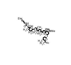 CCSSCCNC(=O)OC[C@]1(O)O[C@@H]([C@H]2C[C@H](C)[C@H]([C@]3(C)CCC([C@@]4(C)C[C@@H](C)[C@@]5(O[C@H](C[C@H]6CC[C@H](C)C([C@@H](C)C(C)=O)O6)C[C@@H](OC)[C@H]5C)O4)O3)O2)[C@@H](C)C[C@H]1C